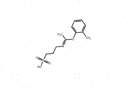 C/C(=N\CCCS(=O)(=O)O)Oc1ccccc1C